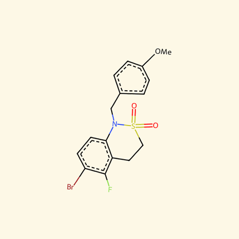 COc1ccc(CN2c3ccc(Br)c(F)c3CCS2(=O)=O)cc1